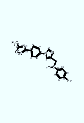 [O-][S+](Cc1cn(-c2ccc(-c3noc(C(F)(F)F)n3)cc2)cn1)c1ccc(F)cc1